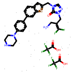 NCC(Cn1ncn(Cc2cc3ccc(-c4ccc(N5CCNCC5)cc4)cc3s2)c1=O)=C(F)F.O=C(O)C(F)(F)F.O=C(O)C(F)(F)F